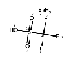 O=S(=O)(O)C(F)(F)F.[BaH2]